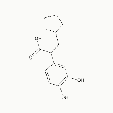 O=C(O)C(CC1CCCC1)c1ccc(O)c(O)c1